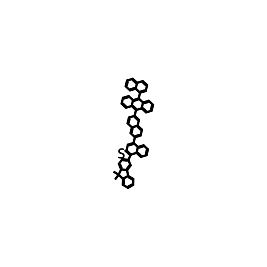 CC1(C)c2ccccc2-c2cc3c(cc21)sc1cc(-c2ccc4cc(-c5c6ccccc6c(-c6cccc7ccccc67)c6ccccc56)ccc4c2)c2ccccc2c13